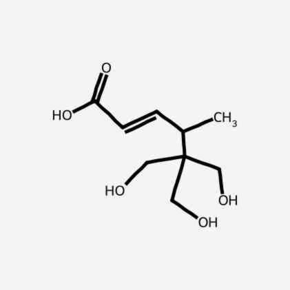 CC(C=CC(=O)O)C(CO)(CO)CO